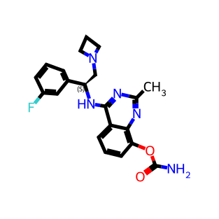 Cc1nc(N[C@H](CN2CCC2)c2cccc(F)c2)c2cccc(OC(N)=O)c2n1